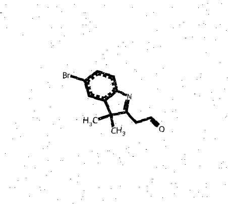 CC1(C)C(CC=O)=Nc2ccc(Br)cc21